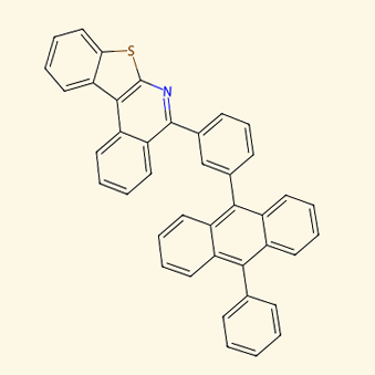 c1ccc(-c2c3ccccc3c(-c3cccc(-c4nc5sc6ccccc6c5c5ccccc45)c3)c3ccccc23)cc1